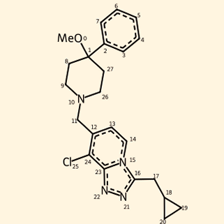 COC1(c2ccccc2)CCN(Cc2ccn3c(CC4CC4)nnc3c2Cl)CC1